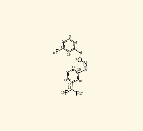 Fc1cccc(CO/N=[C]\c2cccc(C(F)F)c2)c1